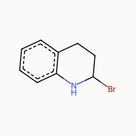 BrC1CCc2ccccc2N1